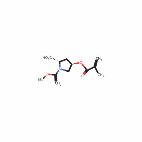 C=C(C)C(=O)O[C@@H]1C[C@@H](C(=O)O)N(C(=C)OC(C)(C)C)C1